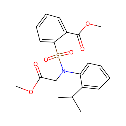 COC(=O)CN(c1ccccc1C(C)C)S(=O)(=O)c1ccccc1C(=O)OC